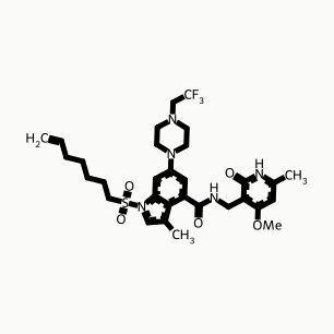 C=CCCCCCS(=O)(=O)n1cc(C)c2c(C(=O)NCc3c(OC)cc(C)[nH]c3=O)cc(N3CCN(CC(F)(F)F)CC3)cc21